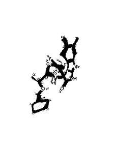 Cc1cc2nc3n(c2cc1C)C(NC(=O)[C@H](C)OCC1CCCC1)(C(F)(F)F)C(=O)N3